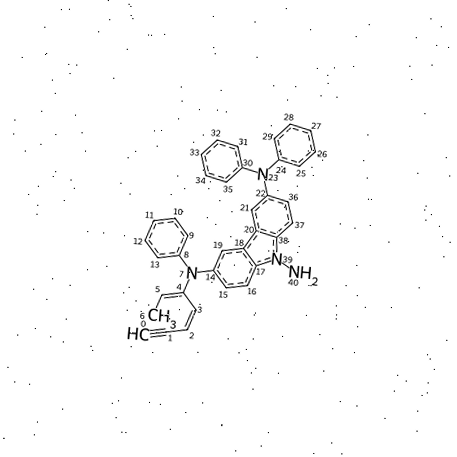 C#C/C=C\C(=C/C)N(c1ccccc1)c1ccc2c(c1)c1cc(N(c3ccccc3)c3ccccc3)ccc1n2N